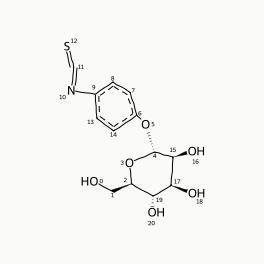 OC[C@H]1O[C@H](Oc2ccc(N=C=S)cc2)[C@@H](O)[C@@H](O)[C@@H]1O